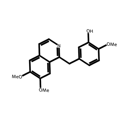 COc1ccc(Cc2nccc3cc(OC)c(OC)cc23)cc1O